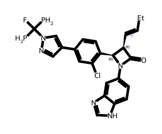 CC/C=C/[C@H]1C(=O)N(c2ccc3[nH]cnc3c2)[C@H]1c1ccc(-c2cnn(C(F)(P)P)c2)cc1Cl